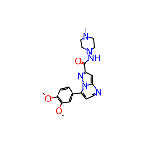 COc1ccc(-c2ccnc3cc(C(=O)NN4CCN(C)CC4)nn23)cc1OC